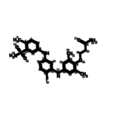 Cc1ccc(Nc2ncc(F)c(Nc3cc(C)c(OCCC(N)=O)c(C)c3)n2)cc1S(N)(=O)=O